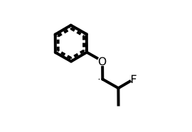 CC(F)[CH]Oc1ccccc1